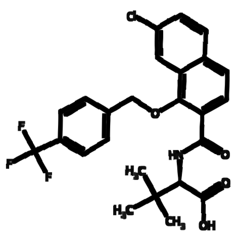 CC(C)(C)[C@@H](NC(=O)c1ccc2ccc(Cl)cc2c1OCc1ccc(C(F)(F)F)cc1)C(=O)O